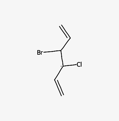 C=C[C](Cl)C(Br)C=C